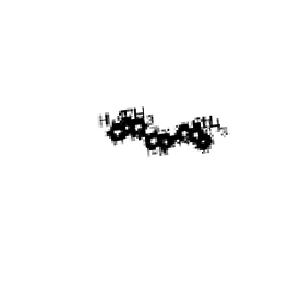 CC1(C)c2ccccc2-c2nc(-c3ccc4ccc(-c5ccc6c(n5)-c5ccccc5C6(C)C)cc4c3)ccc21